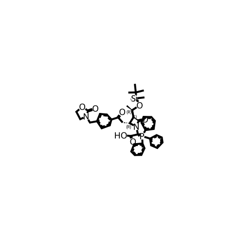 C[C@@H](O[Si](C)(C)C(C)(C)C)[C@H]1C(=O)N(C(C(=O)O)=P(c2ccccc2)(c2ccccc2)c2ccccc2)[C@@H]1CC(=O)c1ccc(CN2CCOC2=O)cc1